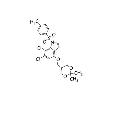 Cc1ccc(S(=O)(=O)n2ccc3c(OCC4COC(C)(C)OC4)cc(Cl)c(Cl)c32)cc1